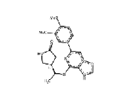 COc1ccc(-c2cc3nc[nH]c3c(OC(C)[C@H]3CNC(=O)C3)n2)cc1OC